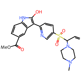 C=CC(N1CCN(C)CC1)S(=O)(=O)c1ccc(-c2c(O)[nH]c3ccc(C(=O)OC)cc23)nc1